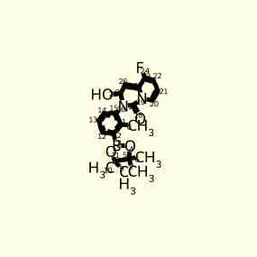 Cc1c(B2OC(C)(C)C(C)(C)O2)cccc1N1C(=O)N2C=CC=C(F)C2=CC1O